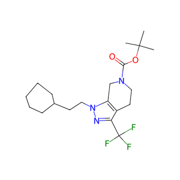 CC(C)(C)OC(=O)N1CCc2c(C(F)(F)F)nn(CCC3CCCCC3)c2C1